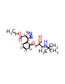 CCOC(=O)c1snnc1-c1ccccc1OCC(O)CNC(C)(C)C